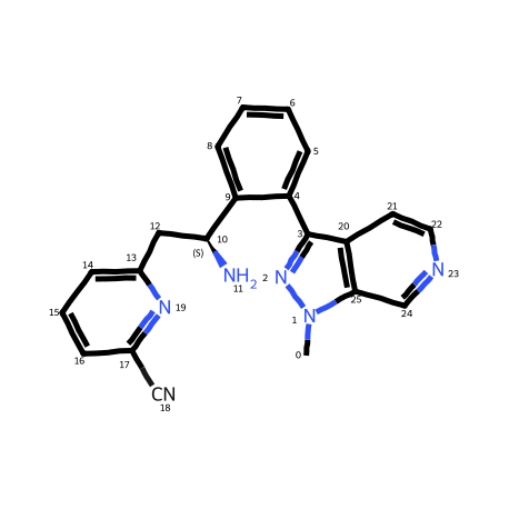 Cn1nc(-c2ccccc2[C@@H](N)Cc2cccc(C#N)n2)c2ccncc21